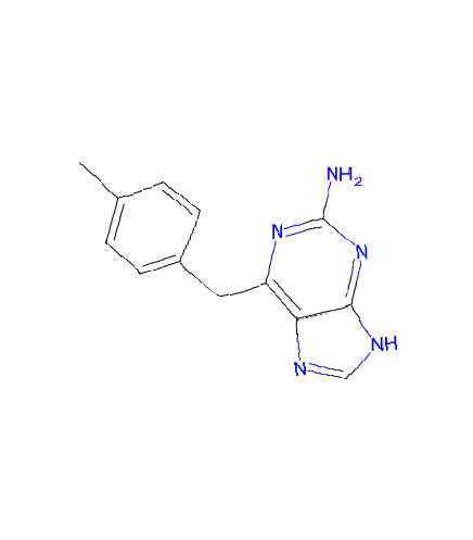 Cc1ccc(Cc2nc(N)nc3[nH]cnc23)cc1